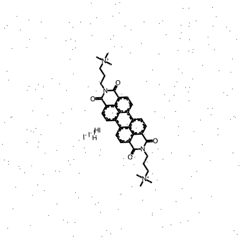 C[N+](C)(C)CCCN1C(=O)c2ccc3c4ccc5c6c(ccc(c7ccc(c2c37)C1=O)c64)C(=O)N(CCC[N+](C)(C)C)C5=O.I.I.[I-].[I-]